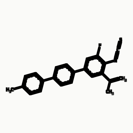 C=C(C)c1cc(-c2ccc(-c3ccc(C)cc3)cc2)cc(F)c1N=C=S